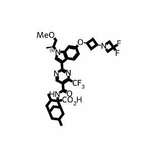 COC[C@H](C)n1cc(-c2ncc(C(=O)NC3(C(=O)O)C(C)CC4CC(C)CC3C4)c(C(F)(F)F)n2)c2ccc(O[C@H]3C[C@@H](N4CC(F)(F)C4)C3)cc21